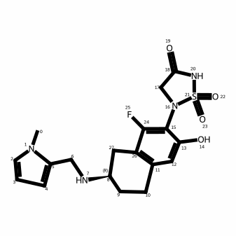 Cn1cccc1CN[C@@H]1CCc2cc(O)c(N3CC(=O)NS3(=O)=O)c(F)c2C1